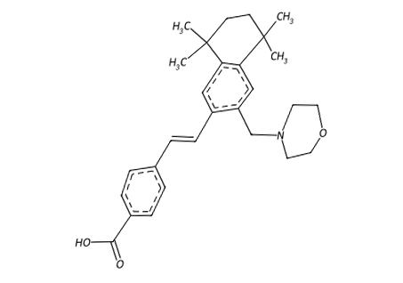 CC1(C)CCC(C)(C)c2cc(CN3CCOCC3)c(C=Cc3ccc(C(=O)O)cc3)cc21